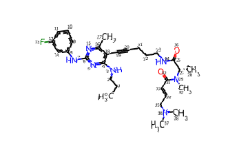 CCCNc1nc(Nc2cccc(F)c2)nc(C)c1C#CCCCNC(=O)[C@H](C)N(C)C(=O)/C=C/CN(C)C